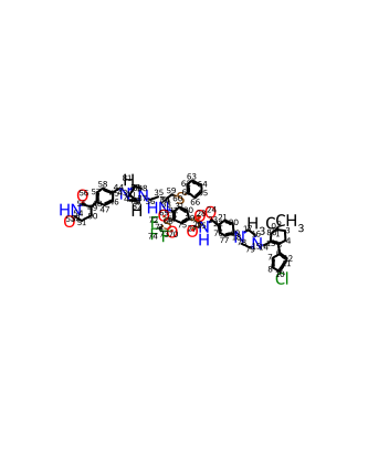 CC1(C)CCC(c2ccc(Cl)cc2)=C(CN2CCN(c3ccc(C(=O)NS(=O)(=O)c4ccc(N[C@H](CCN5C[C@@H]6C[C@H]5CN6Cc5ccc(C6CCC(=O)NC6=O)cc5)CSc5ccccc5)c(S(=O)(=O)C(F)(F)F)c4)cc3)CC2)C1